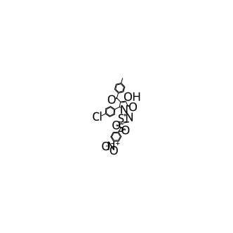 Cc1ccc(C(=O)C2=C(O)C(=O)N(c3ncc(S(=O)(=O)c4ccc([N+](=O)[O-])cc4)s3)C2c2ccc(Cl)cc2)cc1